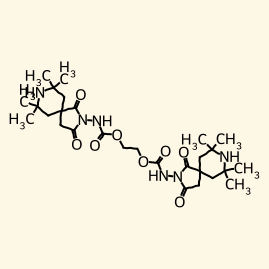 CC1(C)CC2(CC(=O)N(NC(=O)OCCOC(=O)NN3C(=O)CC4(CC(C)(C)NC(C)(C)C4)C3=O)C2=O)CC(C)(C)N1